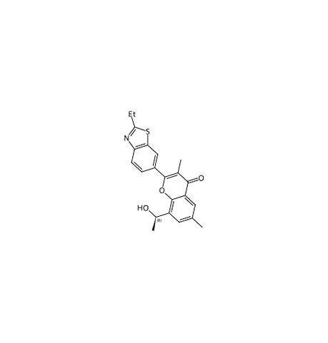 CCc1nc2ccc(-c3oc4c([C@@H](C)O)cc(C)cc4c(=O)c3C)cc2s1